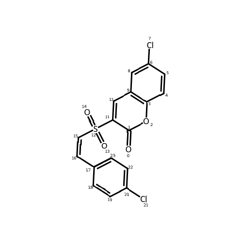 O=c1oc2ccc(Cl)cc2cc1S(=O)(=O)/C=C\c1ccc(Cl)cc1